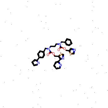 O=C(OCc1cncs1)N(CCCN(Cc1ccc(-c2ccccn2)cc1)C(=O)OCc1scnc1-c1ccccn1)Cc1ccccc1